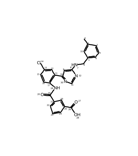 Cc1cccc(CNc2cc(-c3cc(Cl)ccc3NC(=O)c3cccc(C(=O)O)c3)ncn2)c1